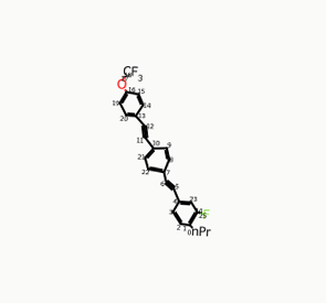 CCCc1ccc(C#Cc2ccc(C#Cc3ccc(OC(F)(F)F)cc3)cc2)cc1F